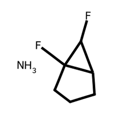 FC1C2CCCC12F.N